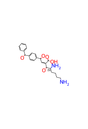 NCCCC[C@H](N)C(=O)C(=CC(=O)c1ccc(C(=O)c2ccccc2)cc1)C(=O)O